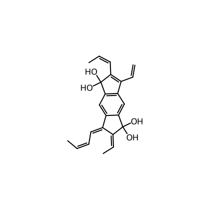 C=CC1=C(/C=C\C)C(O)(O)c2cc3c(cc21)C(O)(O)C(=C/C)/C3=C\C=C/C